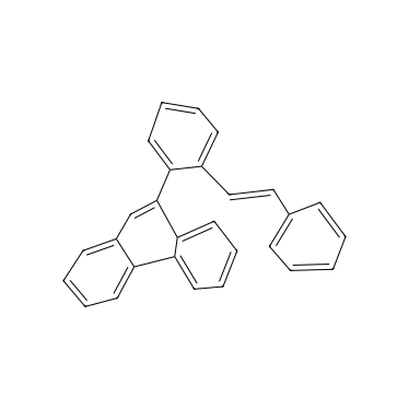 C(=Cc1ccccc1-c1cc2ccccc2c2ccccc12)c1ccccc1